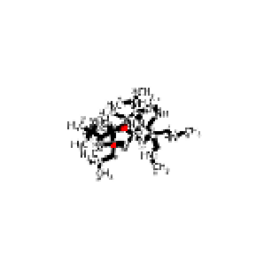 CNCP(CNC)(CNC)=NP(=NC(C)(C)CC(C)(C)C)(N=P(C)(N(C)C)N(C)C)N=P(CNC)(N(C)C)N(C)C